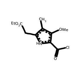 CCOC(=O)Cc1[nH]c(C(=O)Cl)c(OC)c1C